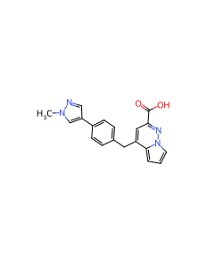 Cn1cc(-c2ccc(Cc3cc(C(=O)O)nn4cccc34)cc2)cn1